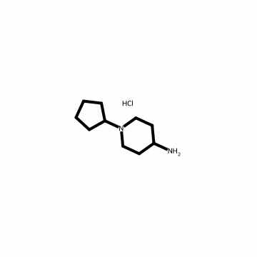 Cl.NC1CCN(C2CCCC2)CC1